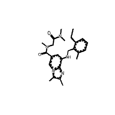 CCc1cccc(C)c1CNc1cc(C(=O)N(C)CC(=O)N(C)C)cn2c(C)c(C)nc12